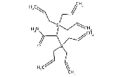 C=CC[Si](CC=C)(CC=C)C(C(N)=O)[Si](CC=C)(CC=C)CC=C